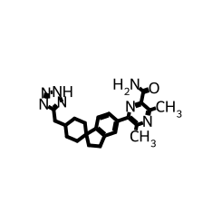 Cc1nc(C)c(-c2ccc3c(c2)CCC32CCC(Cc3nn[nH]n3)CC2)nc1C(N)=O